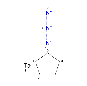 C1CCCC1.[N-]=[N+]=[N-].[Ta]